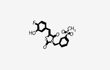 CS(=O)(=O)c1cccc(CN2C(=O)S/C(=C\c3ccc(F)c(O)c3)C2=O)c1